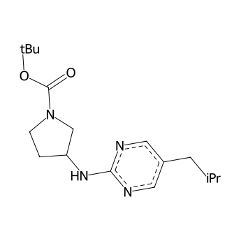 CC(C)Cc1cnc(NC2CCN(C(=O)OC(C)(C)C)C2)nc1